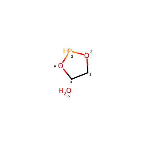 C1COPO1.O